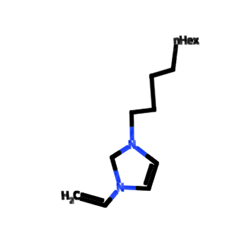 C=CN1C=CN(CCCCCCCCCC)C1